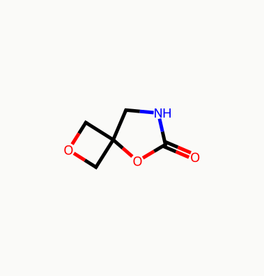 O=C1NCC2(COC2)O1